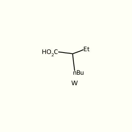 CCCCC(CC)C(=O)O.[W]